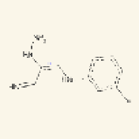 N=C/C(=C\Nc1cccc(F)c1)NN